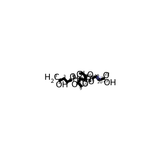 C=C(O)CCC(=O)O[C@@H]1CO[C@H]2[C@@H]1OC[C@H]2OC(=O)/C=C/C(=O)O